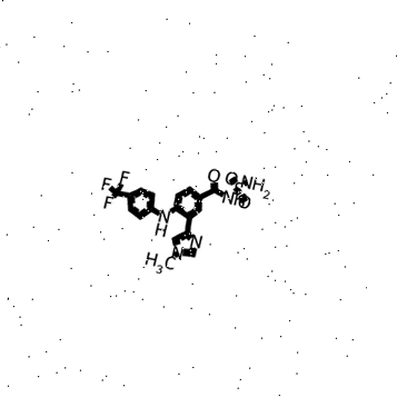 Cn1cnc(-c2cc(C(=O)NS(N)(=O)=O)ccc2Nc2ccc(C(F)(F)F)cc2)c1